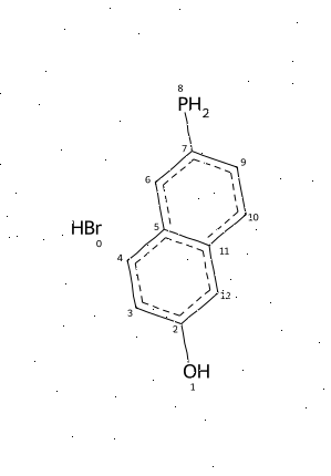 Br.Oc1ccc2cc(P)ccc2c1